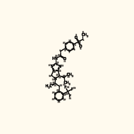 CCS(=O)(=O)c1ccc(CC(=O)Nc2nc3c(s2)CN([C@H](C)Cc2ccccc2C(F)(F)F)[C@@H]3C(C)C)cc1